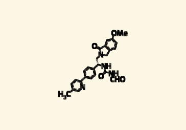 COc1ccc2c(c1)C(=O)N(C[C@H](NC(=O)NC=O)c1ccc(-c3ccc(C)cn3)cc1)C2